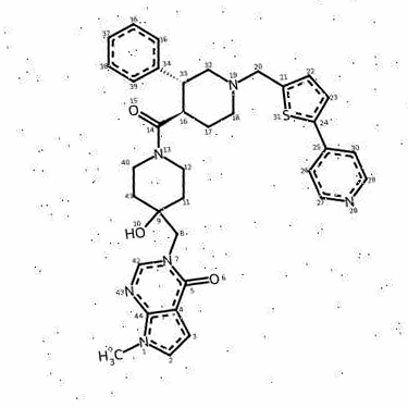 Cn1ccc2c(=O)n(CC3(O)CCN(C(=O)[C@@H]4CCN(Cc5ccc(-c6ccncc6)s5)C[C@H]4c4ccccc4)CC3)cnc21